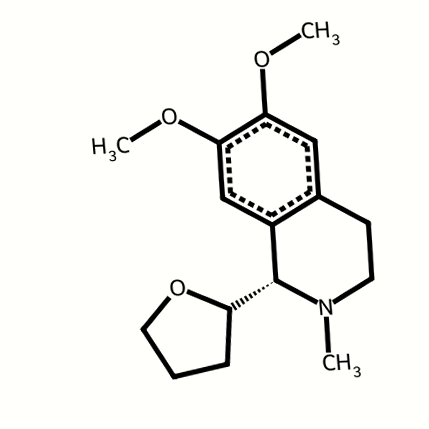 COc1cc2c(cc1OC)[C@@H](C1CCCO1)N(C)CC2